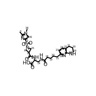 Cc1nc(S(=O)(=O)N2CC(C(=O)NC(CNC(=O)CCCCc3ccc4c(n3)NCCC4)C(=O)O)C2)cn1C